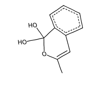 CC1=Cc2ccccc2C(O)(O)O1